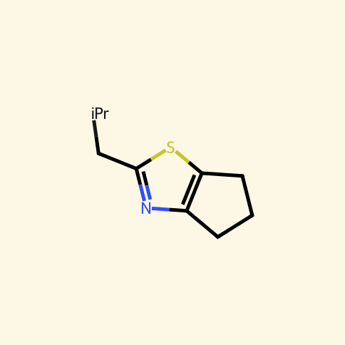 CC(C)Cc1nc2c(s1)CCC2